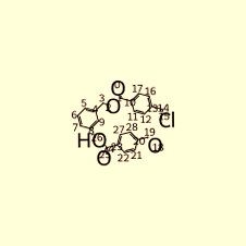 O=C(OCc1ccccc1)c1ccc(CCl)cc1.O=Cc1ccc(C(=O)O)cc1